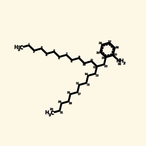 CCCCCCCCCCCCC(CCCCCCCCCC)Cc1ccccc1N